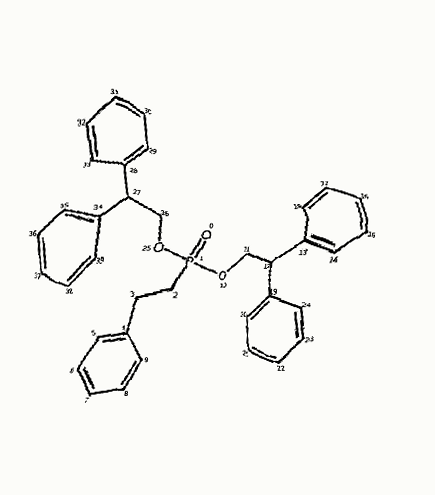 O=P(CCc1ccccc1)(OCC(c1ccccc1)c1ccccc1)OCC(c1ccccc1)c1ccccc1